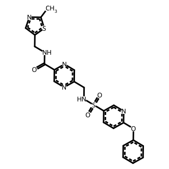 Cc1ncc(CNC(=O)c2cnc(CNS(=O)(=O)c3ccc(Oc4ccccc4)nc3)cn2)s1